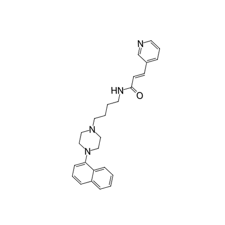 O=C(C=Cc1cccnc1)NCCCCN1CCN(c2cccc3ccccc23)CC1